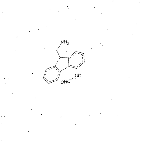 NCC1c2ccccc2-c2ccccc21.O=CO